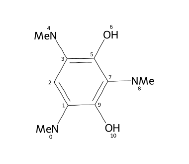 CNc1cc(NC)c(O)c(NC)c1O